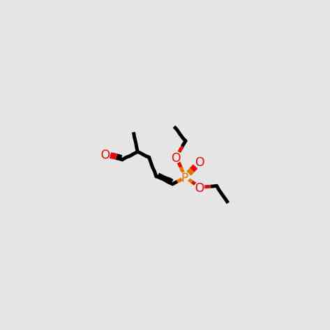 CCOP(=O)(/C=C\CC(C)C=O)OCC